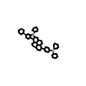 c1ccc(-c2ccc3c4c5ccc6ccc(-c7ccc(N(c8ccccc8)c8ccccc8)cc7)c7ccc(cc4n(-c4ccccc4)c3c2)c5c67)cc1